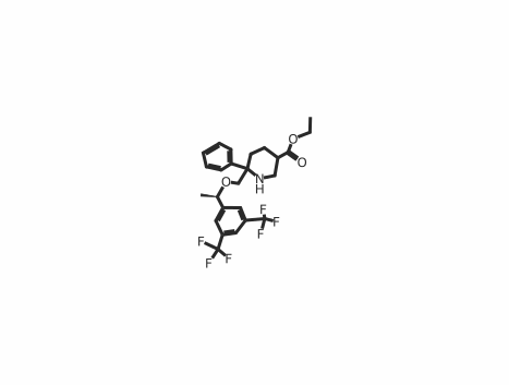 CCOC(=O)C1CCC(CO[C@H](C)c2cc(C(F)(F)F)cc(C(F)(F)F)c2)(c2ccccc2)NC1